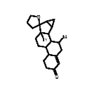 CCC1CC2=CC(=O)CCC2C2CCC3(CC)C(C4CC4C34CCCO4)C12